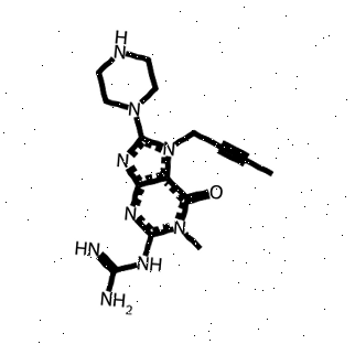 CC#CCn1c(N2CCNCC2)nc2nc(NC(=N)N)n(C)c(=O)c21